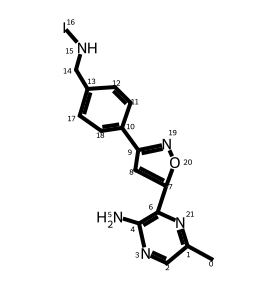 Cc1cnc(N)c(-c2cc(-c3ccc(CNI)cc3)no2)n1